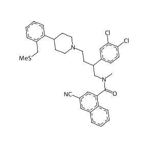 CSCc1ccccc1C1CCN(CCC(CN(C)C(=O)c2cc(C#N)cc3ccccc23)c2ccc(Cl)c(Cl)c2)CC1